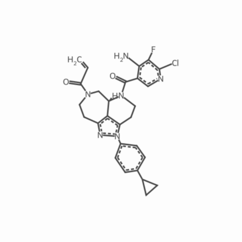 C=CC(=O)N1CCc2nn(-c3ccc(C4CC4)cc3)c3c2[C@H](C1)N(C(=O)c1cnc(Cl)c(F)c1N)CC3